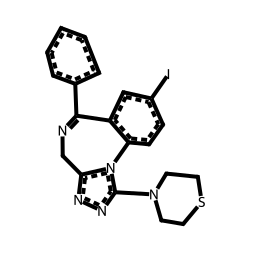 Ic1ccc2c(c1)C(c1ccccc1)=NCc1nnc(N3CCSCC3)n1-2